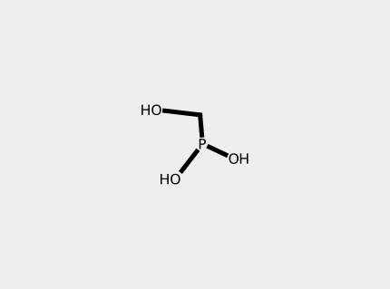 OCP(O)O